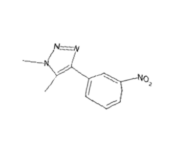 Cc1c(-c2cccc([N+](=O)[O-])c2)nnn1C